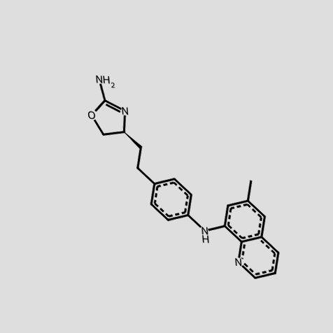 Cc1cc(Nc2ccc(CC[C@H]3COC(N)=N3)cc2)c2ncccc2c1